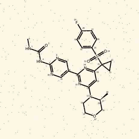 CNC(=O)Nc1ncc(-c2nc(N3CCOC[C@@H]3C)cc(C3(S(=O)(=O)c4ccc(F)cc4)CC3)n2)cn1